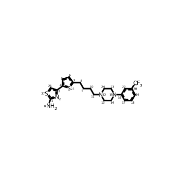 Nc1nc(-c2ccc(CCCCN3CCN(c4cccc(C(F)(F)F)c4)CC3)s2)cs1